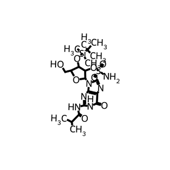 CC(C)C(=O)Nc1nc2c(ncn2C2OC(CO)C(O[Si](C)(C)C(C)(C)C)C2OS(N)(=O)=O)c(=O)[nH]1